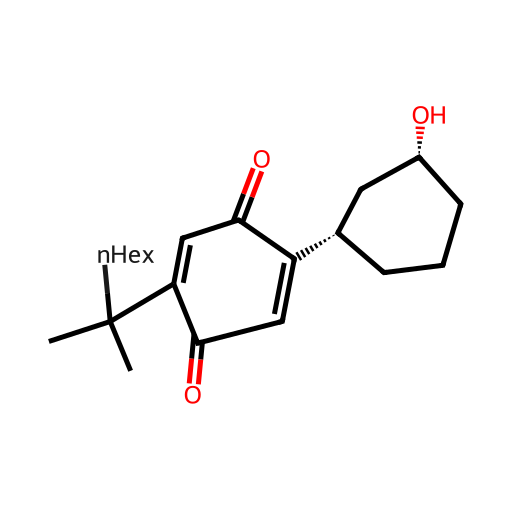 CCCCCCC(C)(C)C1=CC(=O)C([C@H]2CCC[C@@H](O)C2)=CC1=O